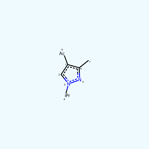 CC(=O)c1cn(C(C)C)nc1C